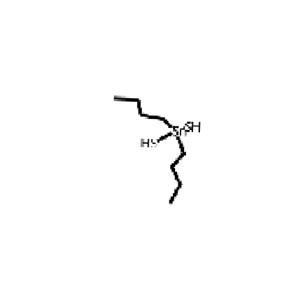 CCC[CH2][Sn]([SH])([SH])[CH2]CCC